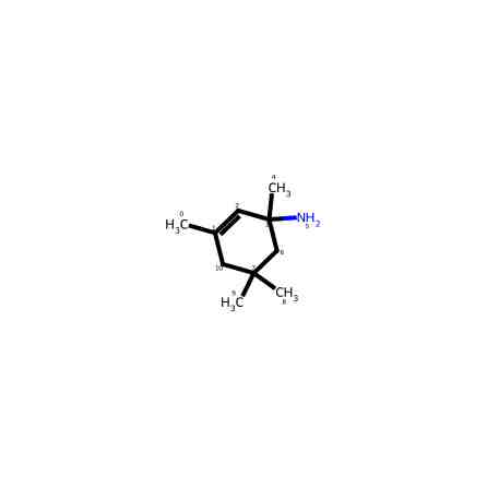 CC1=CC(C)(N)CC(C)(C)C1